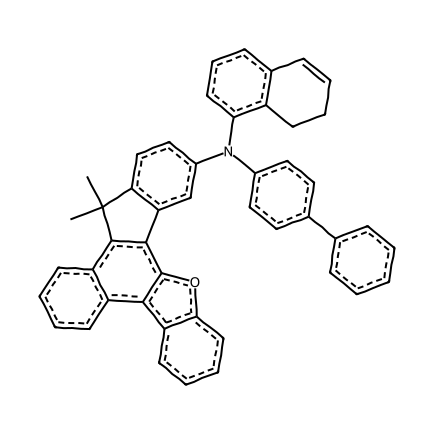 CC1(C)c2ccc(N(c3ccc(-c4ccccc4)cc3)c3cccc4c3CCC=C4)cc2-c2c1c1ccccc1c1c2oc2ccccc21